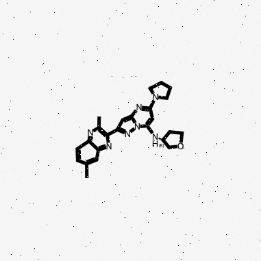 Cc1ccc2nc(C)c(-c3cc4nc(N5CCCC5)cc(N[C@@H]5CCOC5)n4n3)nc2c1